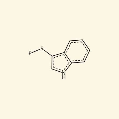 FSc1c[nH]c2ccccc12